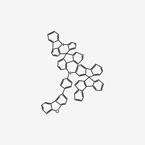 c1ccc2c(c1)-c1ccc(N(c3ccc(-c4ccc5oc6ccccc6c5c4)cc3)c3cccc4c3-c3ccccc3C43c4ccccc4-n4c5ccccc5c5cccc3c54)cc1C21c2ccccc2-c2c1ccc1ccccc21